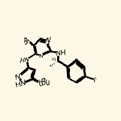 C[C@H](Nc1ncc(Br)c(Nc2cc(C(C)(C)C)[nH]n2)n1)c1ccc(F)cc1